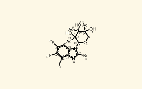 CC(=O)[C@@]1(O)[C@@](O)(C(C)=O)CO[C@@H](n2c(Br)nc3c(F)c(F)c(F)cc32)[C@@]1(O)C(C)=O